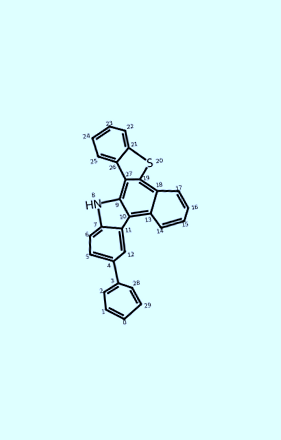 c1ccc(-c2ccc3[nH]c4c(c3c2)c2ccccc2c2sc3ccccc3c42)cc1